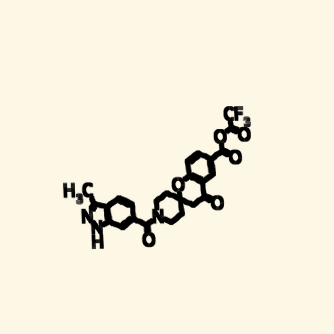 Cc1n[nH]c2cc(C(=O)N3CCC4(CC3)CC(=O)c3cc(C(=O)OC(=O)C(F)(F)F)ccc3O4)ccc12